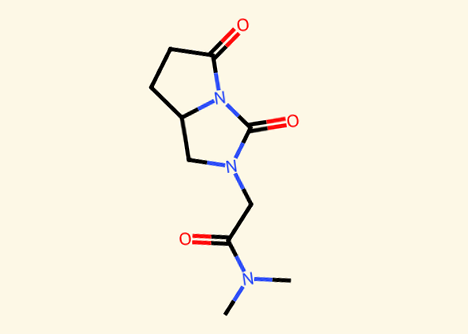 CN(C)C(=O)CN1CC2CCC(=O)N2C1=O